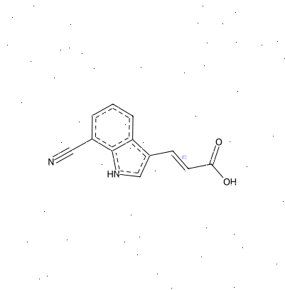 N#Cc1cccc2c(/C=C/C(=O)O)c[nH]c12